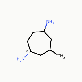 CC1CC(N)CC[C@@H](N)C1